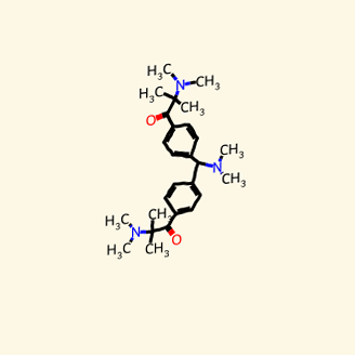 CN(C)C(c1ccc(C(=O)C(C)(C)N(C)C)cc1)c1ccc(C(=O)C(C)(C)N(C)C)cc1